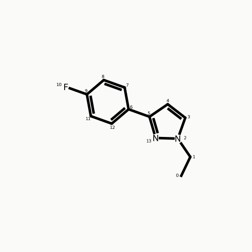 CCn1ccc(-c2ccc(F)cc2)n1